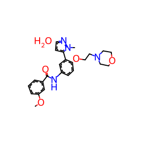 COc1cccc(C(=O)Nc2ccc(OCCN3CCOCC3)c(-c3ccnn3C)c2)c1.O